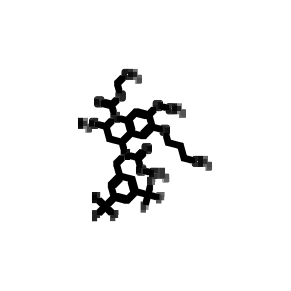 CCCCOc1cc2c(cc1OC)N(C(=O)OCC)C(C)CC2N(Cc1cc(C(F)(F)F)cc(C(F)(F)F)c1)C(=O)OC